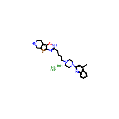 Br.Br.Br.Cc1cc(N2CCN(CCCCC3=Nc4sc5c(c4ON3)CCNC5)CC2)nc2ccccc12